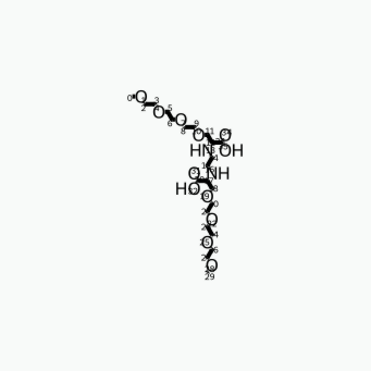 COCCOCCOCCOCC(NCCNC(COCCOCCOCCOC)C(=O)O)C(=O)O